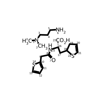 CN(C)CCCN.O=C(Cc1cccs1)N[C@@H](CC1CC=CS1)C(=O)O